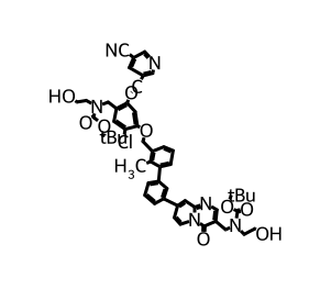 Cc1c(COc2cc(OCc3cncc(C#N)c3)c(CN(CCO)C(=O)OC(C)(C)C)cc2Cl)cccc1-c1cccc(-c2ccn3c(=O)c(CN(CCO)C(=O)OC(C)(C)C)cnc3c2)c1